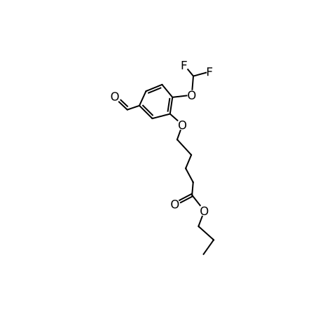 CCCOC(=O)CCCCOc1cc(C=O)ccc1OC(F)F